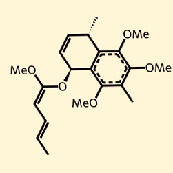 C/C=C/C=C(/OC)O[C@H]1C=C[C@H](C)c2c(OC)c(OC)c(C)c(OC)c21